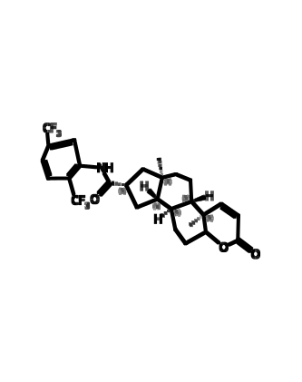 C[C@]12CC[C@H]3[C@@H](CCC4OC(=O)C=C[C@@]43C)[C@@H]1C[C@H](C(=O)Nc1cc(C(F)(F)F)ccc1C(F)(F)F)C2